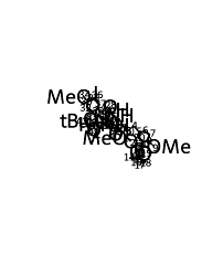 COC(=O)[C@H](Cc1ccc(OC)c(B2OC(C)(C)C(C)(C)O2)c1)NC(=O)[C@H](N)NC(=O)[C@H](c1ccc(OC)c(I)c1)N(C)C(=O)OC(C)(C)C